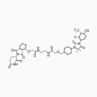 CC1(C)C(=O)N(c2ccc(C#N)c(C(F)(F)F)c2F)C(=S)N1c1ccc(COCC(=O)NCCNC(=O)COc2cccc3c2C(=O)N(C2CCC(=O)NC2=O)C3=O)cc1